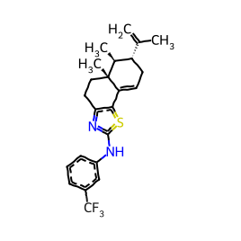 C=C(C)[C@@H]1CC=C2c3sc(Nc4cccc(C(F)(F)F)c4)nc3CC[C@]2(C)[C@H]1C